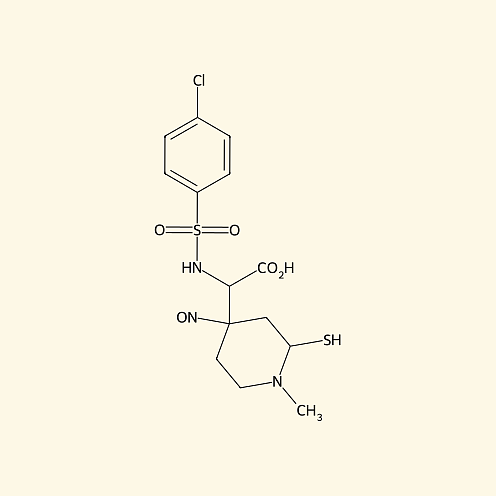 CN1CCC(N=O)(C(NS(=O)(=O)c2ccc(Cl)cc2)C(=O)O)CC1S